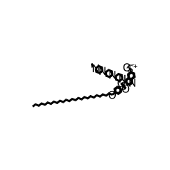 CCCCCCCCCCCCCCCCCCCCCCCCCCOc1ccc(S(=O)(=O)c2cnc3ccc([S+](C)[O-])cc3c2N2CCC(N3CCC(N4CCN(CC)CC4)CC3)CC2)cc1